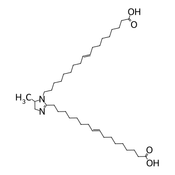 CC1CN=C(CCCCCCCC=CCCCCCCCC(=O)O)N1CCCCCCCCC=CCCCCCCCC(=O)O